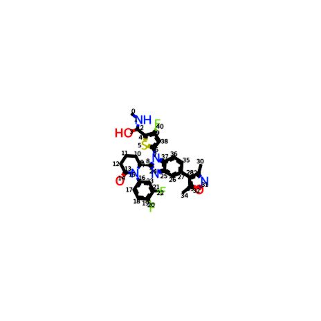 CNC(O)c1sc(-n2c([C@@H]3CCCC(=O)N3c3ccc(F)c(F)c3)nc3cc(-c4c(C)noc4C)ccc32)cc1F